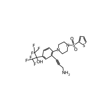 NCC#Cc1cc(C(O)(C(F)(F)F)C(F)(F)F)ccc1N1CCN(S(=O)(=O)c2cccs2)CC1